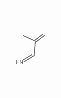 C=C(C)C=N